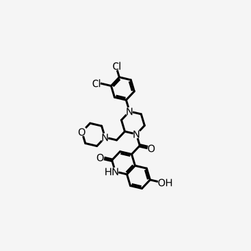 O=C(c1cc(=O)[nH]c2ccc(O)cc12)N1CCN(c2ccc(Cl)c(Cl)c2)CC1CN1CCOCC1